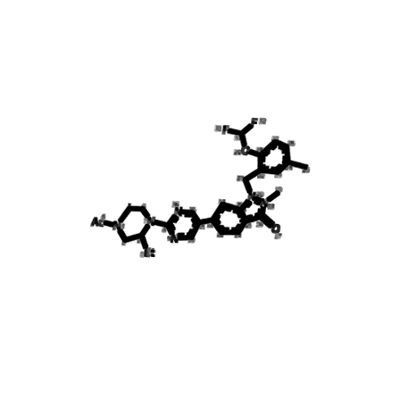 CCC1CN(C(C)=O)CCN1c1ncc(-c2ccc3c(=O)n(C)n(Cc4cc(C)ccc4OC(F)F)c3c2)cn1